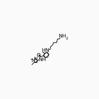 Cc1c(NCCCCCCCN)cccc1C(=O)Nc1cc(C)n(C)n1